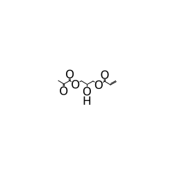 C=CC(=O)OCC(O)COC(=O)C(C)=O